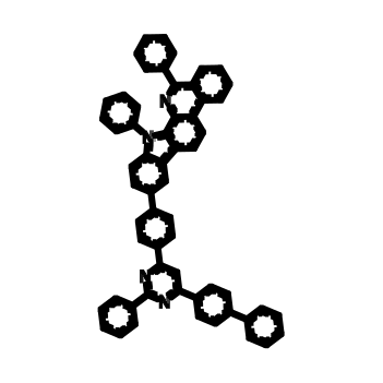 c1ccc(-c2ccc(-c3cc(-c4ccc(-c5ccc6c(c5)c5ccc7c8ccccc8c(-c8ccccc8)nc7c5n6-c5ccccc5)cc4)nc(-c4ccccc4)n3)cc2)cc1